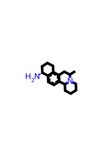 CC1Cc2c(ccc3c2CCC[C@H]3N)C2CCCCN12